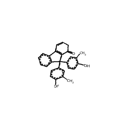 Cc1cc(C2(c3ccc(O)c(C)c3)C3=C(C=CCC3=O)c3ccccc32)ccc1O